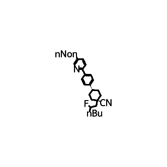 CCCCCCCCCc1ccc(-c2ccc([C@H]3CC[C@](C#N)(CC(F)CCCC)CC3)cc2)nc1